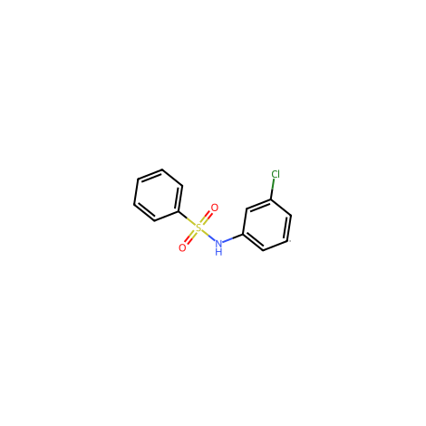 O=S(=O)(Nc1c[c]cc(Cl)c1)c1ccccc1